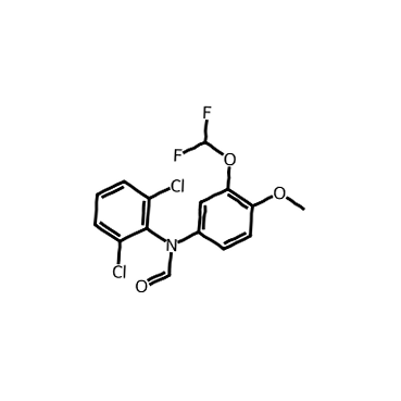 COc1ccc(N(C=O)c2c(Cl)cccc2Cl)cc1OC(F)F